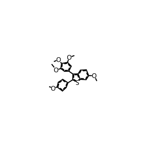 COc1ccc(-c2sc3cc(OC)ccc3c2-c2cc(OC)c(OC)c(OC)c2)cc1